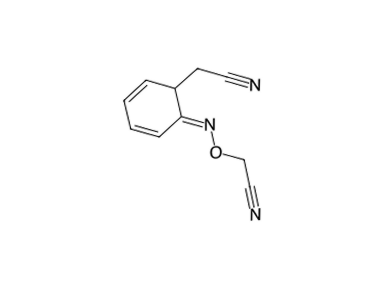 N#CCON=C1C=CC=CC1CC#N